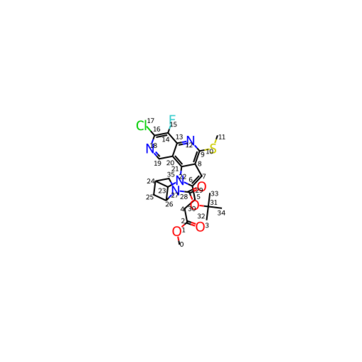 COC(=O)CCc1cc2c(SC)nc3c(F)c(Cl)ncc3c2n1C1C2CC1N(C(=O)OC(C)(C)C)C2